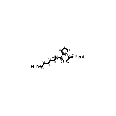 CCCCCC(=O)N1CCC[C@@H]1C(=O)NCCCCCN